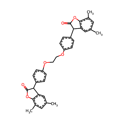 Cc1cc(C)c2c(c1)C(c1ccc(OCCOc3ccc(C4C(=O)Oc5c(C)cc(C)cc54)cc3)cc1)C(=O)O2